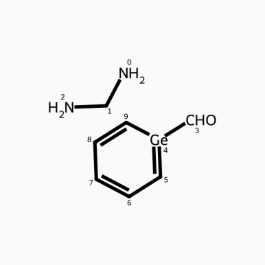 NCN.O=[CH][Ge]1=[CH]C=CC=[CH]1